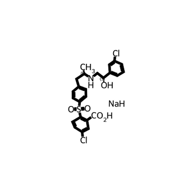 C[C@H](Cc1ccc(S(=O)(=O)c2ccc(Cl)cc2C(=O)O)cc1)NC[C@@H](O)c1cccc(Cl)c1.[NaH]